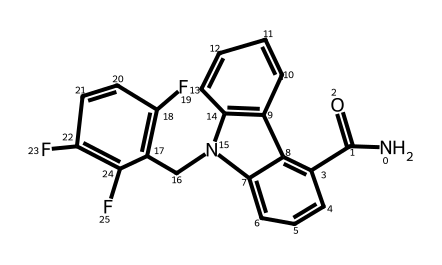 NC(=O)c1cccc2c1c1[c]cccc1n2Cc1c(F)ccc(F)c1F